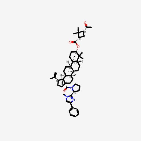 C=C(C)[C@@H]1CC[C@]2(C(=O)N3CCC[C@H]3c3nc(-c4ccccc4)cn3C)CC[C@]3(C)[C@H](CC[C@@H]4[C@@]5(C)CC[C@H](OC(=O)[C@H]6C[C@@H](C(C)=O)C6(C)C)C(C)(C)[C@@H]5CC[C@]43C)[C@@H]12